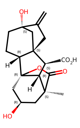 C=C1C[C@]23C[C@@]1(O)CC[C@H]2[C@@]12C[C@H](O)C[C@](C)(C(=O)O1)[C@H]2[C@@H]3C(=O)O